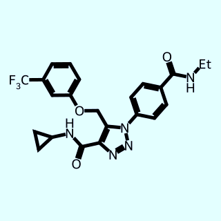 CCNC(=O)c1ccc(-n2nnc(C(=O)NC3CC3)c2COc2cccc(C(F)(F)F)c2)cc1